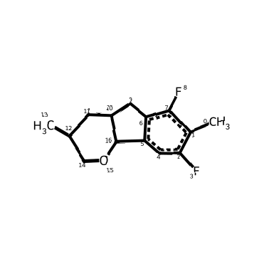 Cc1c(F)cc2c(c1F)CC1CC(C)COC21